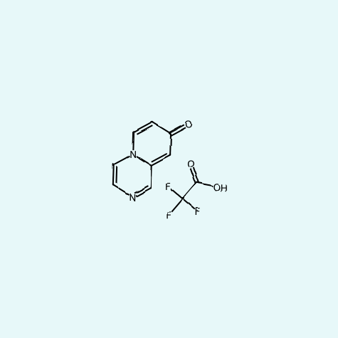 O=C(O)C(F)(F)F.O=c1ccn2ccncc2c1